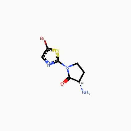 N[C@H]1CCN(c2ncc(Br)s2)C1=O